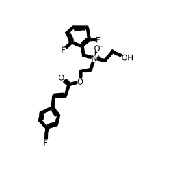 O=C(/C=C/c1ccc(F)cc1)OCC[N@@+]([O-])(CCO)Cc1c(F)cccc1F